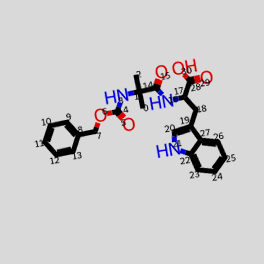 CC(C)(NC(=O)OCc1ccccc1)C(=O)NC(Cc1c[nH]c2ccccc12)C(=O)O